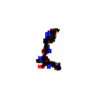 CCCS(=O)(=O)Nc1ccc(F)c(C(=O)c2c[nH]c3ncc(-c4ccc(NC(=O)CCC(=O)NC(C(=O)N5C[C@H](O)C[C@H]5C(=O)NCc5ccc(-c6scnc6C)cc5)C(C)(C)C)cc4)cc23)c1F